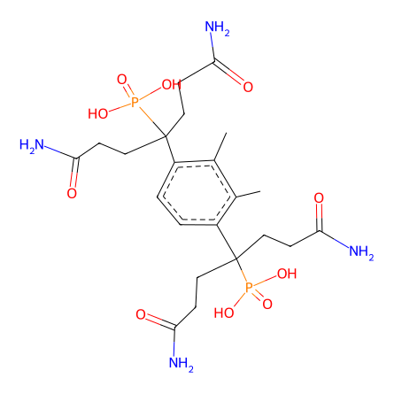 Cc1c(C(CCC(N)=O)(CCC(N)=O)P(=O)(O)O)ccc(C(CCC(N)=O)(CCC(N)=O)P(=O)(O)O)c1C